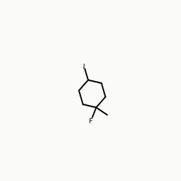 CC1(F)CCC(I)CC1